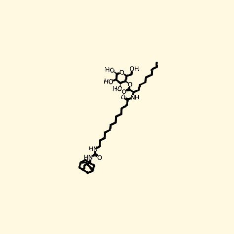 CCCCCCCCC(NC(=O)CCCCCCCCCCCNC(=O)NC12CC3CC(CC(C3)C1)C2)C(=O)O[C@@H]1C(CO)O[C@H](O)C(O)[C@H]1O